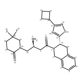 N[C@@H](CC(=O)N1Cc2ccccc2C[C@H]1c1nc(C2CCC2)no1)CN1CC(F)(F)CCC1=O